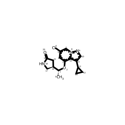 C[C@@H](Oc1cc(Cl)cn2ncc(C3CC3)c12)[C@H]1CNC(=O)C1